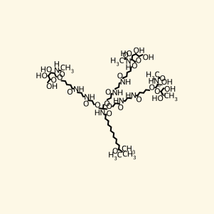 CC(=O)NC1C(OCCCCC(=O)NCCCNC(=O)CCOCC(COCCC(=O)NCCCNC(=O)CCCCOC2OC(CO)C(O)C(O)C2NC(C)=O)(COCCC(=O)NCCCNC(=O)CCCCOC(OC(CO)[C@H](C)O)[C@H](CO)NC(C)=O)NC(=O)CCCCCCCCCCC(=O)C(C)(C)C)OC(CO)C(O)C1O